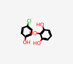 Oc1ccc(Cl)cc1.Oc1cccc(O)c1O